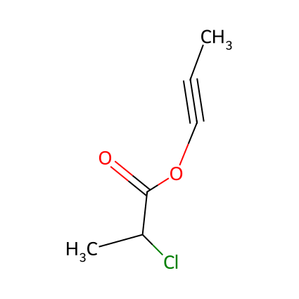 CC#COC(=O)C(C)Cl